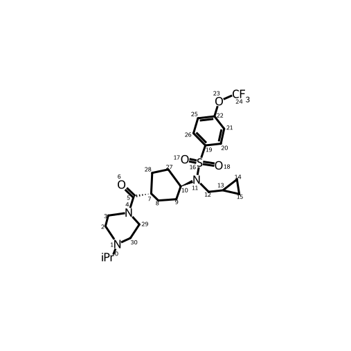 CC(C)N1CCN(C(=O)[C@H]2CC[C@H](N(CC3CC3)S(=O)(=O)c3ccc(OC(F)(F)F)cc3)CC2)CC1